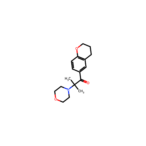 CC(C)(C(=O)c1ccc2c(c1)CCCO2)N1CCOCC1